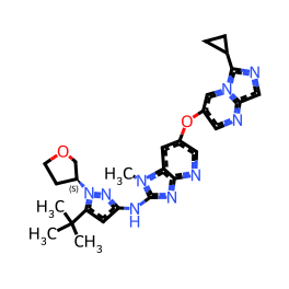 Cn1c(Nc2cc(C(C)(C)C)n([C@H]3CCOC3)n2)nc2ncc(Oc3cnc4cnc(C5CC5)n4c3)cc21